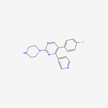 Fc1ccc(-c2cnc(N3CCNCC3)nc2-c2ccncc2)cc1